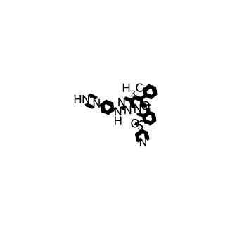 Cc1ccccc1-c1cc2cnc(Nc3ccc(N4CCNCC4)cc3)nc2n(Cc2c(F)cccc2[S+]([O-])c2ccncc2)c1=O